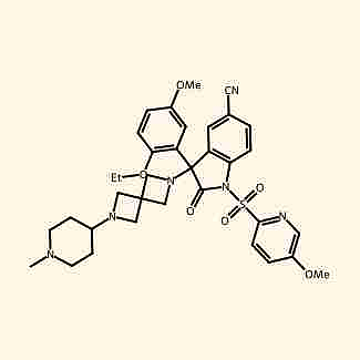 CCOc1ccc(OC)cc1C1(N2CC3(CN(C4CCN(C)CC4)C3)C2)C(=O)N(S(=O)(=O)c2ccc(OC)cn2)c2ccc(C#N)cc21